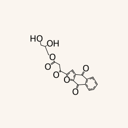 O=C(CC(=O)c1cc2c(o1)C(=O)c1ccccc1C2=O)OCC(O)CO